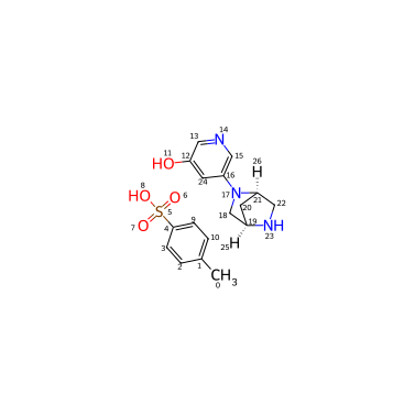 Cc1ccc(S(=O)(=O)O)cc1.Oc1cncc(N2C[C@H]3C[C@@H]2CN3)c1